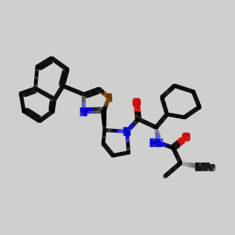 CN[C@H](C)C(=O)N[C@H](C(=O)N1CCC[C@H]1c1nc(-c2cccc3ccccc23)cs1)C1CCCCC1